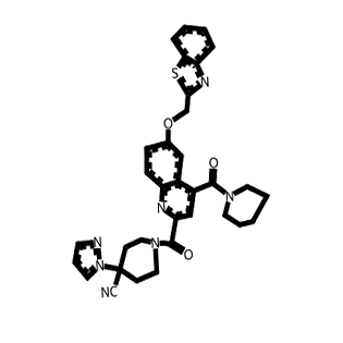 N#CC1(n2cccn2)CCN(C(=O)c2cc(C(=O)N3CCCCC3)c3cc(OCc4nc5ccccc5s4)ccc3n2)CC1